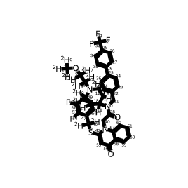 [2H]C([2H])([2H])OC([2H])([2H])C([2H])([2H])N1C([2H])([2H])C([2H])([2H])C([2H])(N(Cc2ccc(-c3ccc(C(F)(F)F)cc3)cc2)C(=O)Cn2c(SC([2H])([2H])c3cccc(F)c3F)cc(=O)c3ccccc32)C([2H])([2H])C1([2H])[2H]